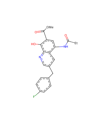 CCC(=O)Nc1cc(C(=O)OC)c(O)c2ncc(Cc3ccc(F)cc3)cc12